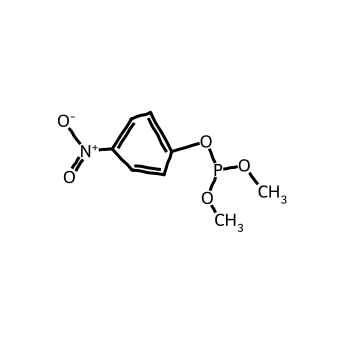 COP(OC)Oc1ccc([N+](=O)[O-])cc1